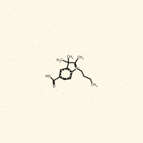 CCCC[N+]1=C(C)C(C)(C)c2cc(C(=O)O)ccc21